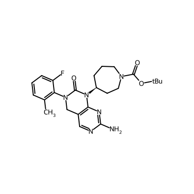 Cc1cccc(F)c1N1Cc2cnc(N)nc2N([C@H]2CCCN(C(=O)OC(C)(C)C)CC2)C1=O